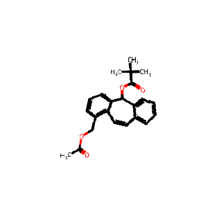 CC(=O)OCc1cccc2c1C=Cc1ccccc1C2OC(=O)C(C)(C)C